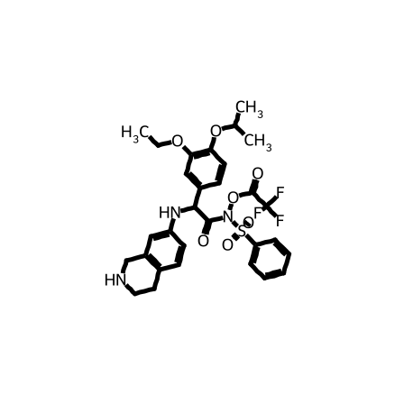 CCOc1cc(C(Nc2ccc3c(c2)CNCC3)C(=O)N(OC(=O)C(F)(F)F)S(=O)(=O)c2ccccc2)ccc1OC(C)C